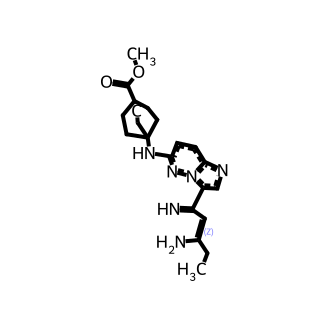 CC/C(N)=C/C(=N)c1cnc2ccc(NC34CCC(C(=O)OC)(CC3)CC4)nn12